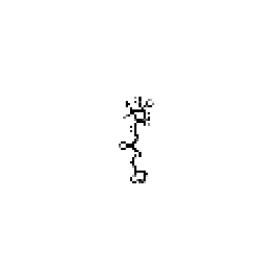 O=C(COC(=O)C(F)(F)S(=O)(=O)O)OCC1CCO1